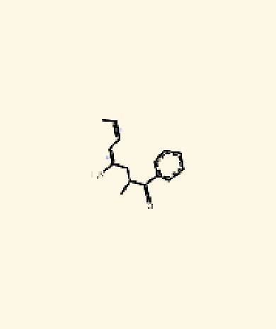 C/C=C\C=C(\N)CC(C)C(=O)c1ccccc1